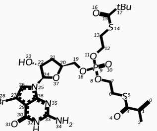 C=C(C)C(=O)SCCOP(=O)(OCCSC(=O)C(C)(C)C)OC[C@@H]1C[C@@H](O)[C@H](n2cc(Br)c3c(=O)[nH]c(N)nc32)O1